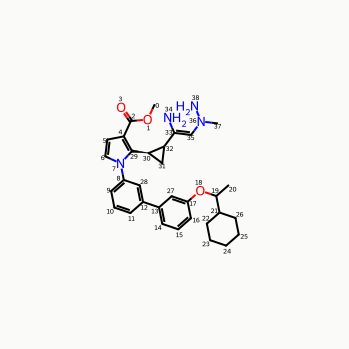 COC(=O)c1ccn(-c2cccc(-c3cccc(OC(C)C4CCCCC4)c3)c2)c1[C@@H]1CC1/C(N)=C/N(C)N